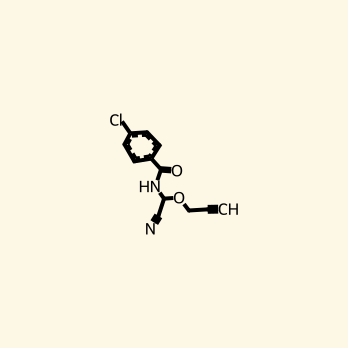 C#CCOC(C#N)NC(=O)c1ccc(Cl)cc1